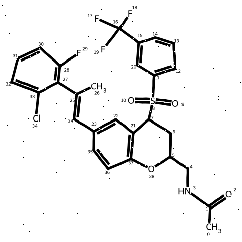 CC(=O)NCC1CC(S(=O)(=O)c2cccc(C(F)(F)F)c2)c2cc(C=C(C)c3c(F)cccc3Cl)ccc2O1